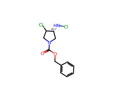 O=C(OCc1ccccc1)N1CC(Cl)[C@H](NCl)C1